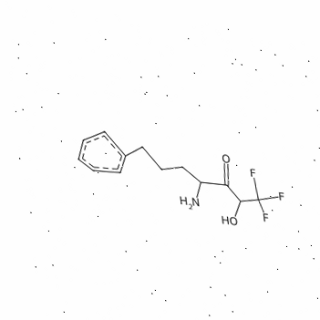 NC(CCCc1ccccc1)C(=O)C(O)C(F)(F)F